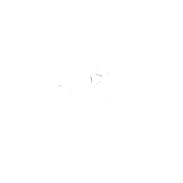 CCC(C)(C)CCCc1cc(O)c(O)c(CCCC2(I)CC2)c1